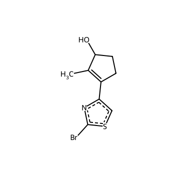 CC1=C(c2csc(Br)n2)CCC1O